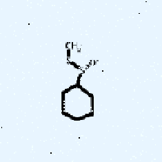 [CH2]S[S+]([O-])C1CCCCC1